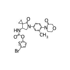 Cc1cc(N2CC(NC(=O)Oc3ccc(Br)s3)C3(CC3)C2=O)ccc1N1CCOCC1=O